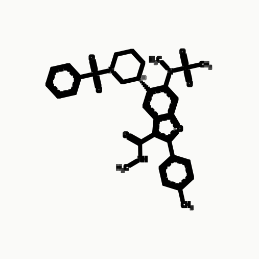 CNC(=O)c1c(-c2ccc(C)cc2)oc2cc(N(C)S(C)(=O)=O)c([C@H]3CCCN(S(=O)(=O)c4ccccc4)C3)cc12